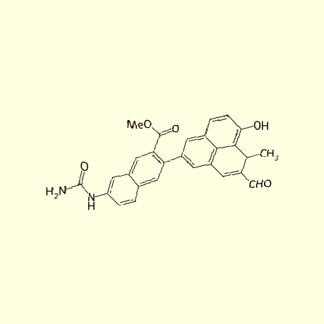 COC(=O)c1cc2cc(NC(N)=O)ccc2cc1-c1cc2c3c(c(O)ccc3c1)C(C)C(C=O)=C2